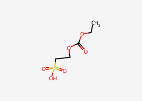 CCOC(=O)OCCS(=O)(=O)O